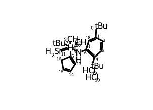 CC(C)(C)c1ccc(C(C)(C)C)c([NH][Hf]([CH3])([CH3])(=[SiH2])([C]2=CC=CC2)[C](C)(C)C)c1.Cl.Cl